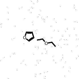 CCOCC.c1ccoc1